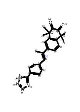 C/C(=C\c1ccc(-c2nnn[nH]2)cc1)c1ccc2c(c1)C(C)(C)C(=O)C(=O)C2(C)C